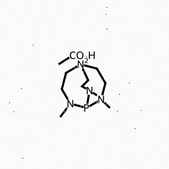 CC(=O)O.CN1CCN2CCN(C)P1N(C)CC2